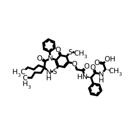 CCCCC1(CCCC)NSC2=C(C(=O)C(SC)C(OCC(=O)N[C@@H](C(=O)N[C@@H](C)C(=O)O)c3ccccc3)=C2)N(c2ccccc2)C1=O